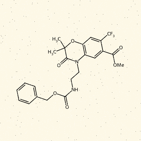 COC(=O)c1cc2c(cc1C(F)(F)F)OC(C)(C)C(=O)N2CCNC(=O)OCc1ccccc1